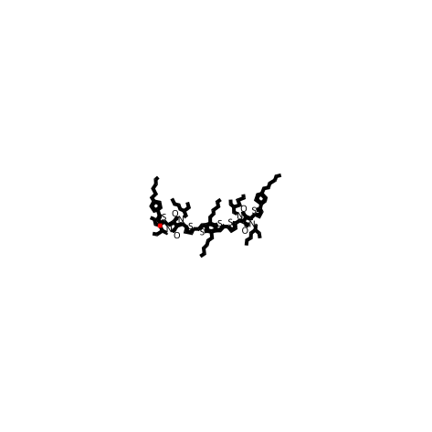 CCCCCCc1ccc(-c2ccc(C3=C4C(=O)N(CC(CC)CCCC)C(c5ccc(-c6cc7c(CCCCCC)c8sc(-c9ccc(C%10=C%11C(=O)N(CC(CC)CCCC)C(c%12ccc(-c%13ccc(CCCCCC)cc%13)s%12)=C%11C(=O)N%10CC(CC)CCCC)s9)cc8c(CCCCCC)c7s6)s5)=C4C(=O)N3CC(CC)CCCC)s2)cc1